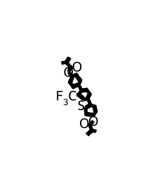 C=C(C)C(=O)Oc1ccc(-c2ccc3c(sc4cc(OC(=O)C(=C)C)ccc43)c2C(F)(F)F)cc1